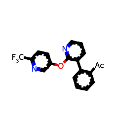 CC(=O)c1ccccc1-c1cccnc1Oc1ccc(C(F)(F)F)nc1